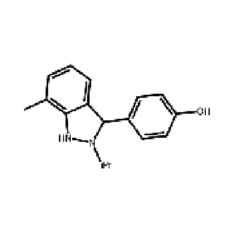 Cc1cccc2c1NN(C(C)C)C2c1ccc(O)cc1